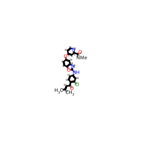 CNC(=O)c1cc(Oc2ccc3oc(Nc4ccc(C(=O)C=C(C)C)c(Cl)c4)nc3c2)ccn1